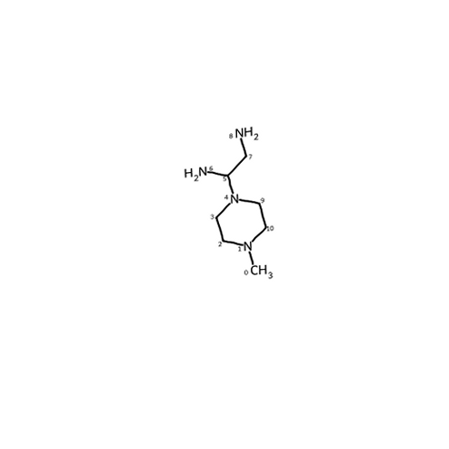 CN1CCN(C(N)CN)CC1